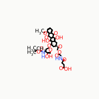 COc1cccc2c1C(=O)c1c(O)c3c(c(O)c1C2=O)C[C@@H](C(=O)COC(=O)CNC(=O)CCC(=O)O)C[C@@H]3OC1CC(NC(=O)OC(C)(C)C)C(O)=CO1